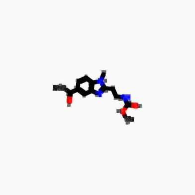 COC(=O)c1ccc2c(c1)nc(CCNC(=O)OC(C)(C)C)n2C